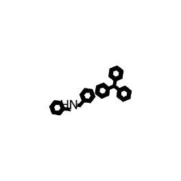 c1ccc(C(c2ccccc2)c2ccccc2)cc1.c1ccc(CNCc2ccccc2)cc1